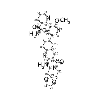 COc1ncc(-c2ccc3nc(N)c(C(=O)N4CCC5(CC4)OCCO5)cc3c2)cc1-c1ncccc1S(N)(=O)=O